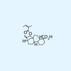 C=C1[C@H]2CC[C@@H]3C(CC[C@H]4[C@@]3(C)CCC[C@@]4(C)C(=O)O)(C2)[C@H]1OC(=O)/C(C)=C\C